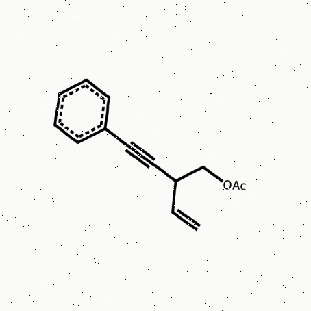 C=CC(C#Cc1ccccc1)COC(C)=O